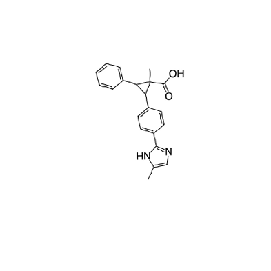 Cc1cnc(-c2ccc(C3C(c4ccccc4)C3(C)C(=O)O)cc2)[nH]1